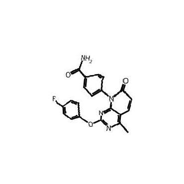 Cc1nc(Oc2ccc(F)cc2)nc2c1ccc(=O)n2-c1ccc(C(N)=O)cc1